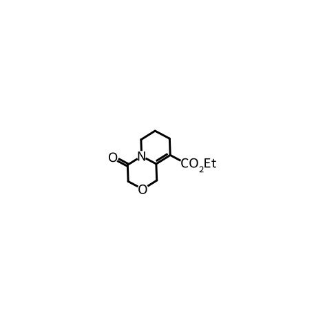 CCOC(=O)C1=C2COCC(=O)N2CCC1